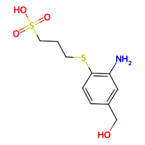 Nc1cc(CO)ccc1SCCCS(=O)(=O)O